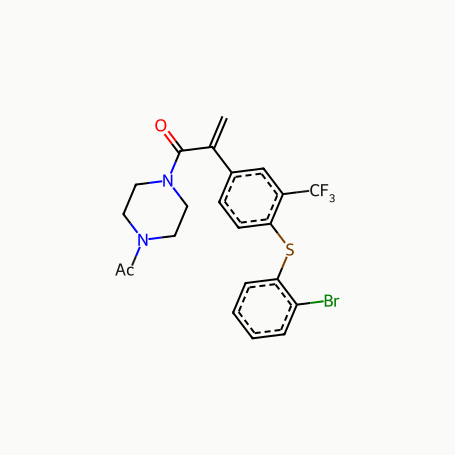 C=C(C(=O)N1CCN(C(C)=O)CC1)c1ccc(Sc2ccccc2Br)c(C(F)(F)F)c1